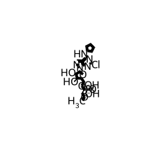 COC[C@@H](OCC1O[C@@H](n2ncc3c(NC4CCCC4)nc(Cl)nc32)[C@H](O)[C@@H]1O)P(=O)(O)O